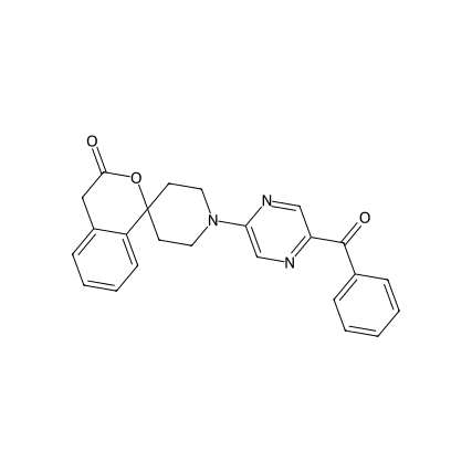 O=C1Cc2ccccc2C2(CCN(c3cnc(C(=O)c4ccccc4)cn3)CC2)O1